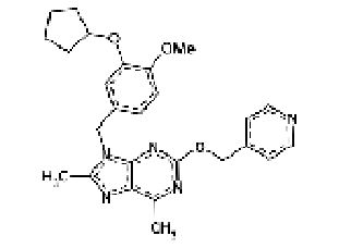 COc1ccc(Cn2c(C)nc3c(C)nc(OCc4ccncc4)nc32)cc1OC1CCCC1